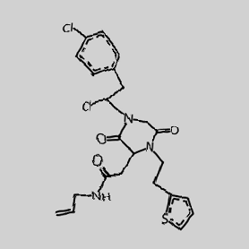 C=CCNC(=O)CC1C(=O)N(C(Cl)Cc2ccc(Cl)cc2)CC(=O)N1CCc1cccs1